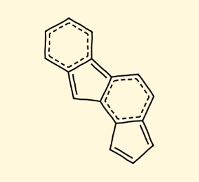 C1=Cc2c3c(ccc2=C1)=c1ccccc1=C3